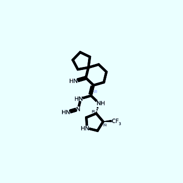 N=NN/C(N[C@H]1CNC[C@@H]1C(F)(F)F)=C1/CCCC2(CCCC2)C1=N